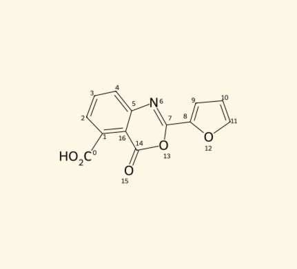 O=C(O)c1cccc2nc(-c3ccco3)oc(=O)c12